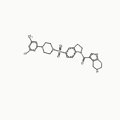 O=C(c1cnn2c1CNCC2)N1CCc2cc(S(=O)(=O)N3CCN(c4cc(C(F)(F)F)cc(Cl)n4)CC3)ccc21